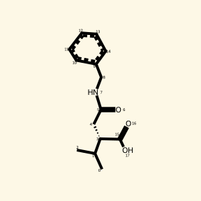 CC(C)[C@H](CC(=O)NCc1ccccc1)C(=O)O